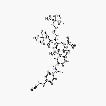 C#CCOc1cnc(/C(F)=C/c2cnc(F)c([C@@]3(C)N=C(N(COCC[Si](C)(C)C)C(=O)OC(C)(C)C)S[C@@]4(C(=O)O)CC43)c2)cn1